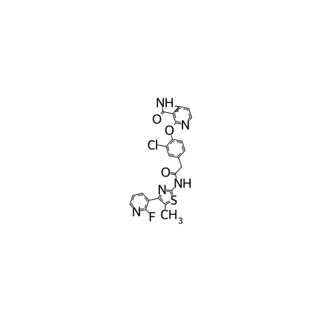 Cc1sc(NC(=O)Cc2ccc(Oc3ncccc3C(N)=O)c(Cl)c2)nc1-c1cccnc1F